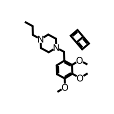 CCCN1CCN(Cc2ccc(OC)c(OC)c2OC)CC1.c1cc2ccc1-2